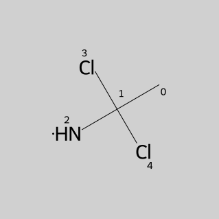 CC([NH])(Cl)Cl